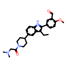 CCc1c(-c2ccc(OC)c(C=O)c2)[nH]c2ccc(C3CCN(C(=O)CN(C)C)CC3)cc12